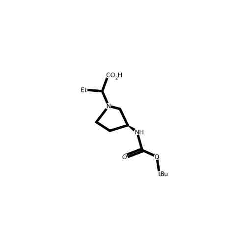 CCC(C(=O)O)N1CC[C@H](NC(=O)OC(C)(C)C)C1